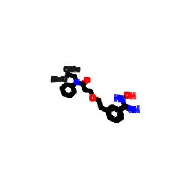 COC(CN(C(=O)CCOCCc1cccc(C(=N)NO)c1)C1CCCCC1)OC